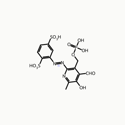 Cc1nc(/N=N/c2cc(S(=O)(=O)O)ccc2S(=O)(=O)O)c(COP(=O)(O)O)c(C=O)c1O